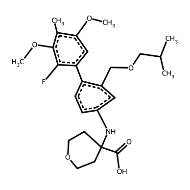 COc1cc(-c2ccc(NC3(C(=O)O)CCOCC3)cc2COCC(C)C)c(F)c(OC)c1C